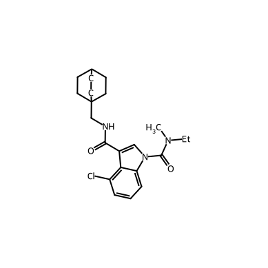 CCN(C)C(=O)n1cc(C(=O)NCC23CCC(CC2)CC3)c2c(Cl)cccc21